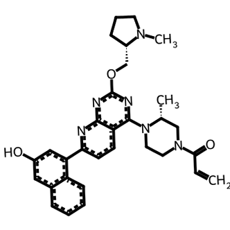 C=CC(=O)N1CCN(c2nc(OC[C@@H]3CCCN3C)nc3nc(-c4cc(O)cc5ccccc45)ccc23)[C@H](C)C1